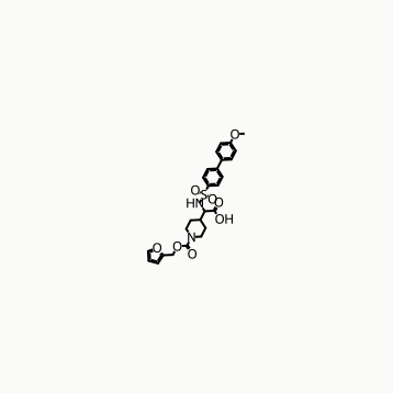 COc1ccc(-c2ccc(S(=O)(=O)NC(C(=O)O)C3CCN(C(=O)OCc4ccco4)CC3)cc2)cc1